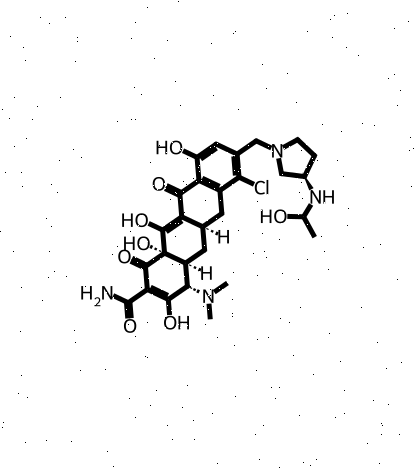 CC(O)N[C@@H]1CCN(Cc2cc(O)c3c(c2Cl)C[C@H]2C[C@H]4[C@H](N(C)C)C(O)=C(C(N)=O)C(=O)[C@@]4(O)C(O)=C2C3=O)C1